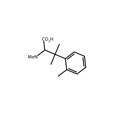 CNC(C(=O)O)C(C)(C)c1ccccc1C